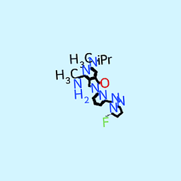 CC(C)N(C)c1cc2c(c([C@@H](C)N)n1)CN(c1cccc(-c3nnc4n3[C@@H](CF)CC4)n1)C2=O